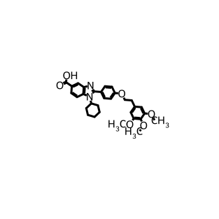 COc1cc(CCOc2ccc(-c3nc4cc(C(=O)O)ccc4n3C3CCCCC3)cc2)cc(OC)c1OC